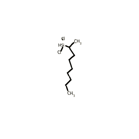 CCCCCCCC(C)[SiH](Cl)Cl